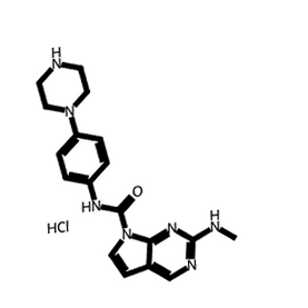 CNc1ncc2ccn(C(=O)Nc3ccc(N4CCNCC4)cc3)c2n1.Cl